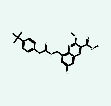 COC(=O)c1cc2cc(Cl)cc(CNC(=O)Cc3ccc(C(C)(C)C)cc3)c2nc1OC